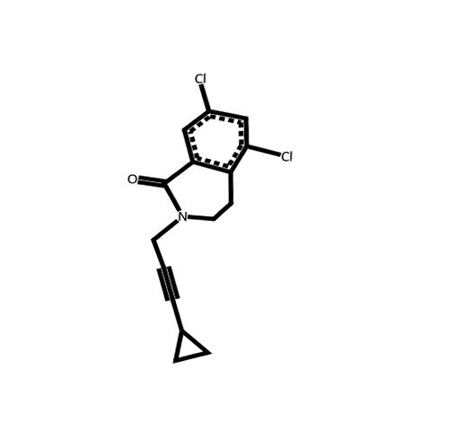 O=C1c2cc(Cl)cc(Cl)c2CCN1CC#CC1CC1